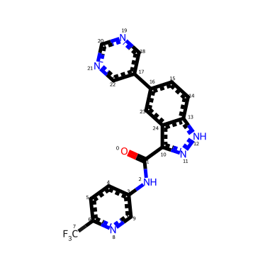 O=C(Nc1ccc(C(F)(F)F)nc1)c1n[nH]c2ccc(-c3cncnc3)cc12